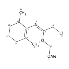 COCOC(CCl)=NC1=C(C)CCCC1C